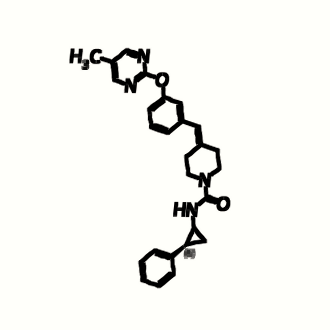 Cc1cnc(Oc2cccc(C=C3CCN(C(=O)NC4C[C@H]4c4ccccc4)CC3)c2)nc1